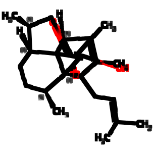 CC(C)=CCC1C(C)=C[C@@H]2C[C@H](C)[C@H]3CC[C@H](C)[C@@]14C(=O)C(O)=C(C)C(=O)C234